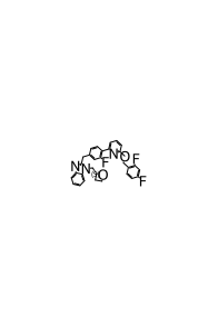 Fc1ccc(COc2cccc(-c3ccc(Cc4nc5ccccc5n4C[C@@H]4CCO4)cc3F)n2)c(F)c1